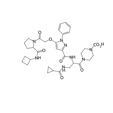 O=C(NC(CNC(=O)C1CC1)C(=O)N1CCN(C(=O)O)CC1)c1cc(OCC(=O)N2CCCC2C(=O)NC2CCC2)n(-c2ccccc2)n1